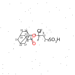 CC(CCS(=O)(=O)O)(OC(=O)C12CC3CC(CC(C3)C1)C2)C(F)(F)F